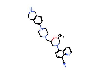 CC1CN(c2ccc(C#N)c3ncccc23)CC(CN2CCN(c3ccc4c(c3)CCNC4)CC2)O1